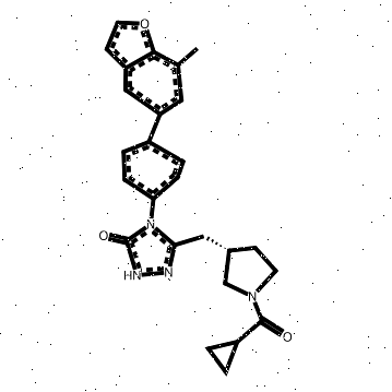 Cc1cc(-c2ccc(-n3c(C[C@@H]4CCN(C(=O)C5CC5)C4)n[nH]c3=O)cc2)cc2ccoc12